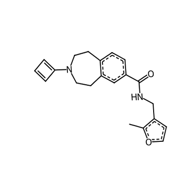 Cc1occc1CNC(=O)c1ccc2c(c1)CCN(C1=CC=C1)CC2